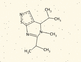 CC(C)C1=Nc2sncc2C(C(C)C)N1C